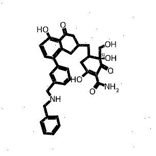 NC(=O)C1=C(O)CC(CC2CC(=O)c3c(O)ccc(-c4cccc(CNCc5ccccc5)c4)c3C2)[C@](O)(CO)C1=O